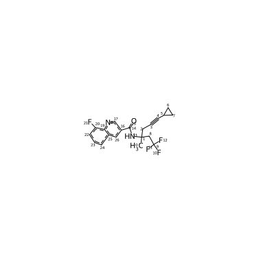 CC(CC#CC1CC1)(CC(F)(F)F)NC(=O)c1cnc2c(F)cccc2c1